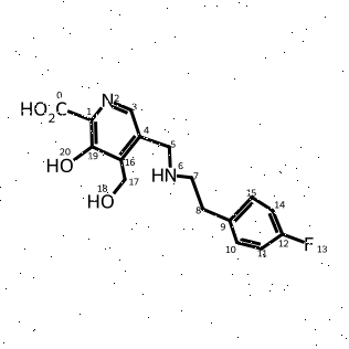 O=C(O)c1ncc(CNCCc2ccc(F)cc2)c(CO)c1O